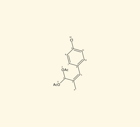 CC(=O)OC(OC(C)=O)C(C)=Cc1ccc(Cl)cc1